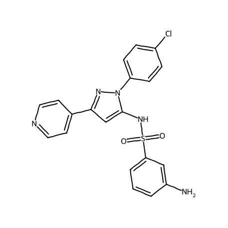 Nc1cccc(S(=O)(=O)Nc2cc(-c3ccncc3)nn2-c2ccc(Cl)cc2)c1